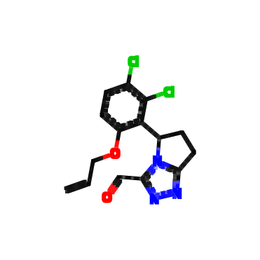 C=CCOc1ccc(Cl)c(Cl)c1C1CCc2nnc(C=O)n21